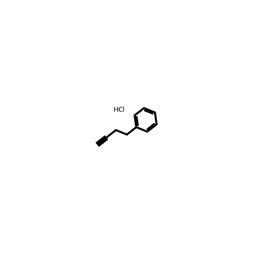 C#CCCc1ccccc1.Cl